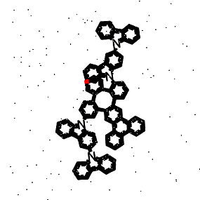 c1ccc2c(c1)-c1ccc(-n3c4ccccc4c4cc(-n5c6ccccc6c6ccccc65)ccc43)cc1-c1cc3c4ccccc4c4ccccc4c3cc1-c1cccc(-n3c4ccccc4c4cc(-n5c6ccccc6c6ccccc65)ccc43)c1-2